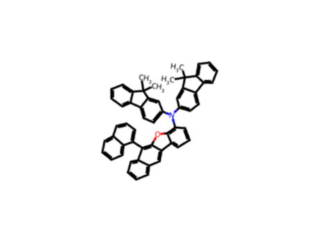 CC1(C)c2ccccc2-c2ccc(N(c3ccc4c(c3)C(C)(C)c3ccccc3-4)c3cccc4c3oc3c(-c5cccc6ccccc56)c5ccccc5cc34)cc21